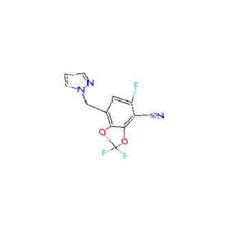 N#Cc1c(F)cc(Cn2cccn2)c2c1OC(F)(F)O2